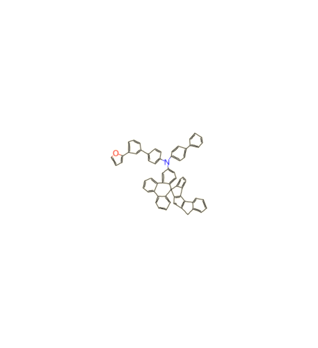 c1ccc(-c2ccc(N(c3ccc(-c4cccc(-c5ccco5)c4)cc3)c3ccc4c(c3)-c3ccccc3-c3ccccc3C43c4ccccc4-c4c3ccc3c4-c4ccccc4C3)cc2)cc1